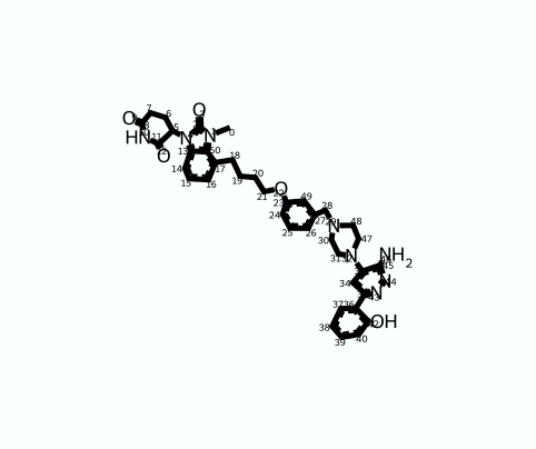 Cn1c(=O)n(C2CCC(=O)NC2=O)c2cccc(CCCCOc3cccc(CN4CCN(c5cc(-c6ccccc6O)nnc5N)CC4)c3)c21